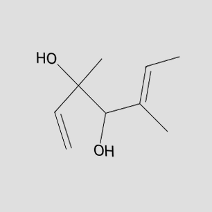 C=CC(C)(O)C(O)C(C)=CC